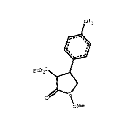 CCOC(=O)C1C(=O)N(OC)CC1c1ccc(C)cc1